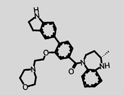 C[C@H]1CCN(C(=O)c2ccc(-c3ccc4c(c3)CCN4)c(OCCN3CCOCC3)c2)c2ccccc2N1